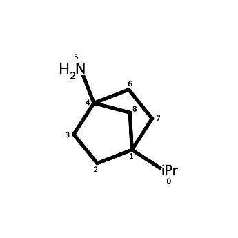 CC(C)C12CCC(N)(CC1)C2